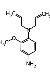 C=CCN(CC=C)c1ccc(N)cc1OC